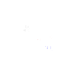 CCOC(N)=O.[Li]